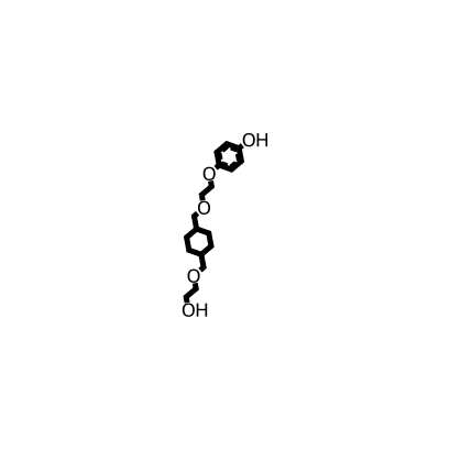 OCCOCC1CCC(COCCOc2ccc(O)cc2)CC1